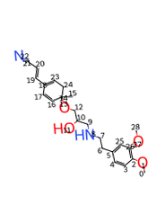 COc1ccc(CCNCC(O)COC2(C)C=CC(C=CC#N)=CC2)cc1OC